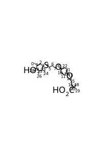 Cc1cc(SCCCOc2ccc(OCCCC(C)(C)C(=O)O)cc2)c(C)c(C)c1O